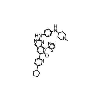 CN1CCC(Nc2ccc(Nc3ncc4cc(-c5ccc(C6CCCC6)cn5)c(=O)n(-c5nccs5)c4n3)cc2)CC1